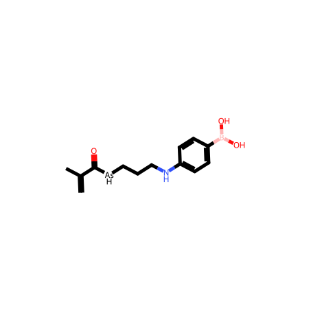 C=C(C)C(=O)[AsH]CCCNc1ccc(B(O)O)cc1